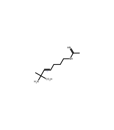 CC(=N)NCCC/C=C/C(C)(N)C(=O)O